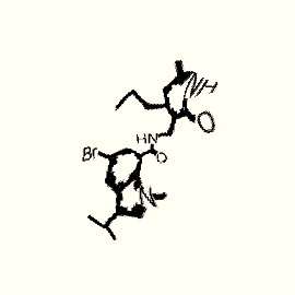 CCCc1cc(C)[nH]c(=O)c1CNC(=O)c1cc(Br)cc2c(C(C)C)cn(C)c12